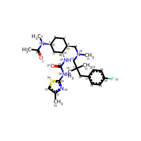 CC(=O)N(C)[C@H]1CC[C@@H](CN(C)CC(C)(C)Cc2ccc(F)cc2)[C@H](NC(=O)Nc2nc(C)cs2)C1